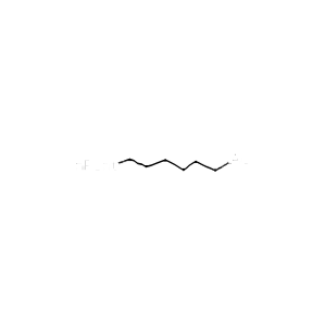 [CH2]C(=O)CCCCCCCCCCC